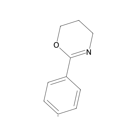 [c]1ccc(C2=NCCCO2)cc1